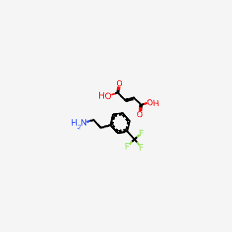 NCCc1cccc(C(F)(F)F)c1.O=C(O)C=CC(=O)O